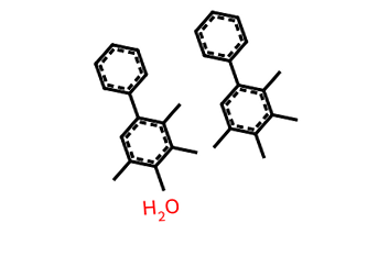 Cc1cc(-c2ccccc2)c(C)c(C)c1C.Cc1cc(-c2ccccc2)c(C)c(C)c1C.O